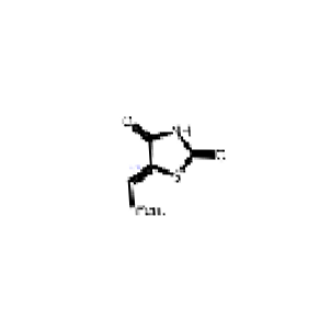 CCCCC/C=C1\SC(=O)NC1=O